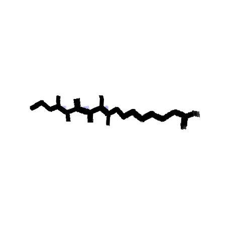 CCC/C(C)=C(C)/C(C)=C(C)/C(C)=C(\C)CCCCCCCC(=O)O